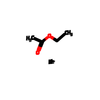 CCOC(C)=O.[Rh]